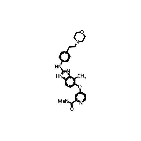 CNC(=O)c1cc(Oc2ccc3[nH]c(Nc4ccc(CCN5CCOCC5)cc4)nc3c2C)ccn1